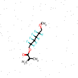 C=C(C)C(=O)OCC(F)(F)C(F)(F)C(F)(F)C(F)(F)COC